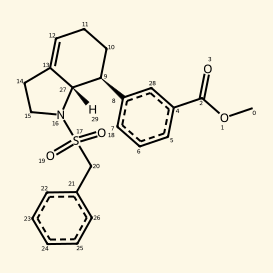 COC(=O)c1cccc([C@@H]2CCC=C3CCN(S(=O)(=O)Cc4ccccc4)[C@H]32)c1